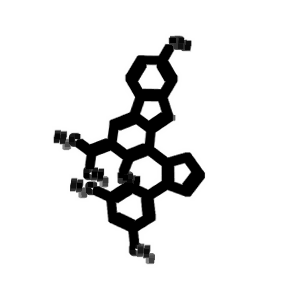 CC(C)=c1cc2c(c(C3=C(c4cc(C)cc(C)c4)C=CC3)c1C(C)(C)C)=[C]c1cc(C(C)(C)C)ccc1-2